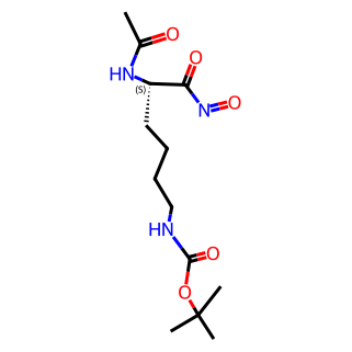 CC(=O)N[C@@H](CCCCNC(=O)OC(C)(C)C)C(=O)N=O